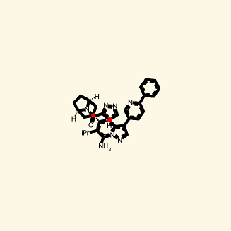 CC(C)c1c([C@@H]2C[C@H]3CC[C@@H](C2)N3C(=O)c2nnc[nH]2)nc2c(-c3ccc(-c4ccccc4)nc3)cnn2c1N